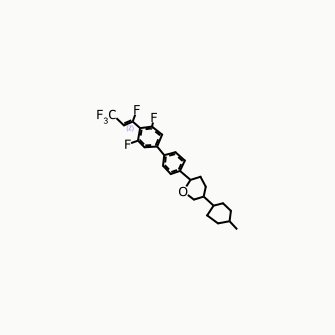 CC1CCC(C2CCC(c3ccc(-c4cc(F)c(/C(F)=C/C(F)(F)F)c(F)c4)cc3)OC2)CC1